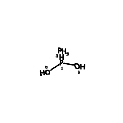 OPO.P